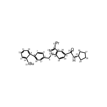 CC(C)c1nn(Cc2ccc(-c3ccccc3C(C)(C)C)cc2)c2ccc(C(=O)NC3CCCC3)cc12